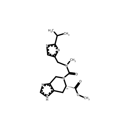 COC(=O)[C@@H]1Cc2[nH]cnc2CN1C(=O)N(C)Cc1csc(C(C)C)n1